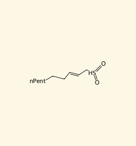 CCCCCCCC=CC[SH](=O)=O